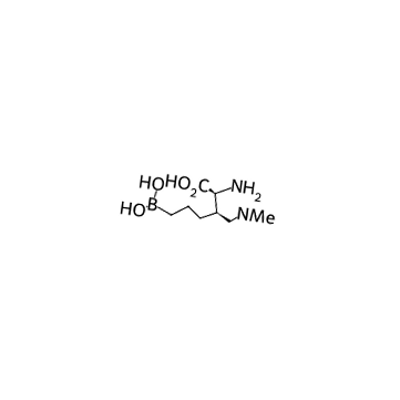 CNC[C@@H](CCCB(O)O)[C@H](N)C(=O)O